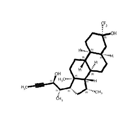 CC#C[C@@H](O)[C@@H](C)[C@H]1C[C@@H](C)[C@H]2[C@@H]3CC[C@@H]4C[C@@](O)(C(F)(F)F)CC[C@@H]4[C@H]3CC[C@@]21C